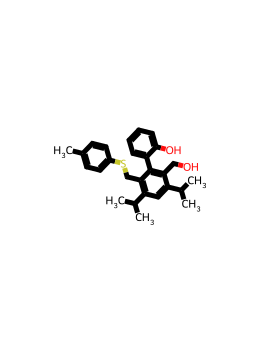 Cc1ccc(SCc2c(C(C)C)cc(C(C)C)c(CO)c2-c2ccccc2O)cc1